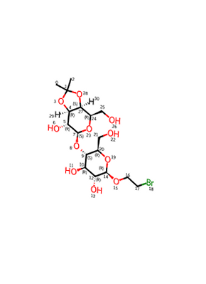 CC1(C)O[C@@H]2[C@@H](O)[C@H](O[C@H]3[C@H](O)[C@@H](O)[C@H](OCCBr)O[C@@H]3CO)O[C@H](CO)[C@@H]2O1